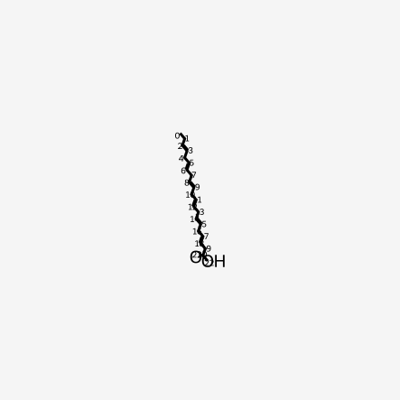 CCC=CCC=CCC=CCC=CCC=CCC=CCC(=O)O